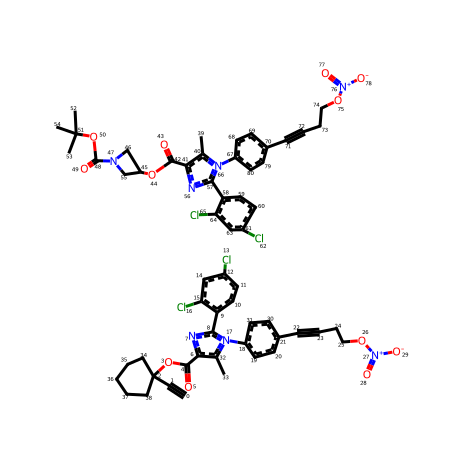 C#CC1(OC(=O)c2nc(-c3ccc(Cl)cc3Cl)n(-c3ccc(C#CCCO[N+](=O)[O-])cc3)c2C)CCCCC1.Cc1c(C(=O)OC2CN(C(=O)OC(C)(C)C)C2)nc(-c2ccc(Cl)cc2Cl)n1-c1ccc(C#CCCO[N+](=O)[O-])cc1